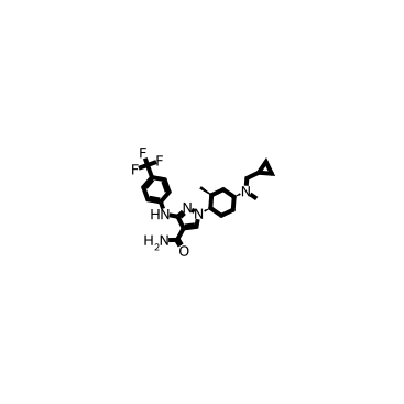 C[C@H]1C[C@H](N(C)CC2CC2)CC[C@@H]1n1cc(C(N)=O)c(Nc2ccc(C(F)(F)F)cc2)n1